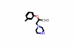 Cc1cccc(OC(C=O)CN2CCNCC2)c1